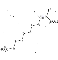 CCCCCCCC/C(I)=C(/I)CCCCCCCC(=O)O